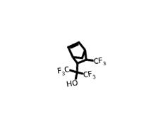 OC(C1C2C=CC(C2)C1C(F)(F)F)(C(F)(F)F)C(F)(F)F